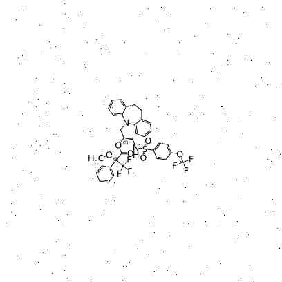 CO[C@@](C(=O)O[C@H](CNS(=O)(=O)c1ccc(OC(F)(F)F)cc1)CN1c2ccccc2CCc2ccccc21)(c1ccccc1)C(F)(F)F